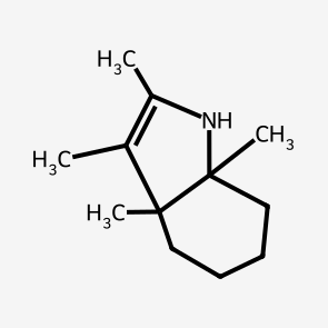 CC1=C(C)C2(C)CCCCC2(C)N1